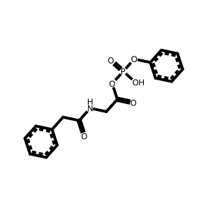 O=C(Cc1ccccc1)NCC(=O)OP(=O)(O)Oc1ccccc1